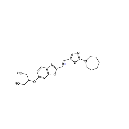 OCC(CO)Oc1ccc2nc(/C=C/c3cnc(N4CCCCCC4)s3)oc2c1